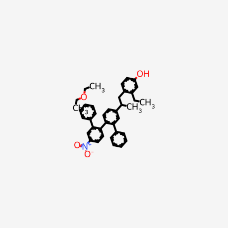 CCOCC.CCc1cc(O)ccc1CC(C)c1ccc(-c2ccc([N+](=O)[O-])cc2-c2ccccc2)c(-c2ccccc2)c1